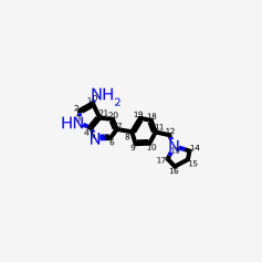 Nc1c[nH]c2ncc(-c3ccc(CN4CCCC4)cc3)cc12